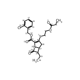 CCC(=O)OCCSC1=C(C(=O)OCc2ccccc2Cl)N2C(=O)C(CC)C2C1